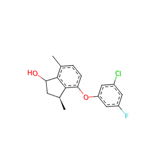 Cc1ccc(Oc2cc(F)cc(Cl)c2)c2c1C(O)C[C@@H]2C